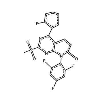 CS(=O)(=O)c1nc(-c2ccccc2F)c2ccc(=O)n(-c3c(F)cc(F)cc3F)c2n1